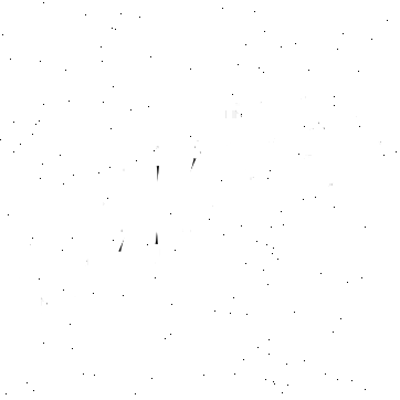 Cc1ncccc1O[C@H]1CO[C@H]2[C@@H]1OC[C@@H]2NC(=O)NC(C)(C)CN1CCOCC1